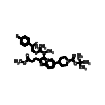 C=C(S/C=C(\C)c1ccc(F)cc1)N(C)c1c(CCC(=O)OC)nc2ccc(C3CCN(C(=O)OC(C)(C)C)CC3)cn12